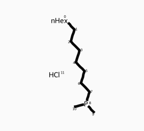 CCCCCCCCCCCCCP(C)C.Cl